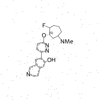 CNC1CCCC(F)[C@@H](Oc2ccc(-c3cc4cnccc4cc3O)nn2)C1